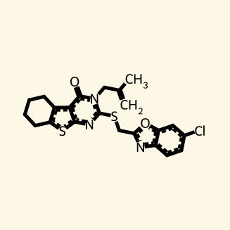 C=C(C)Cn1c(SCc2nc3ccc(Cl)cc3o2)nc2sc3c(c2c1=O)CCCC3